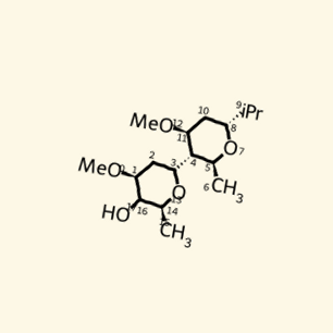 CO[C@H]1CC([C@H]2[C@H](C)O[C@@H](C(C)C)C[C@@H]2OC)O[C@@H](C)C1O